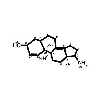 C[C@]12CC[C@@H]3C(=C1CCC2N)CCC1CC(O)C=C[C@@]13C